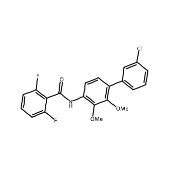 COc1c(NC(=O)c2c(F)cccc2F)ccc(-c2cccc(Cl)c2)c1OC